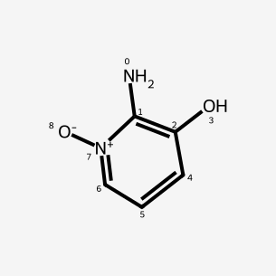 Nc1c(O)ccc[n+]1[O-]